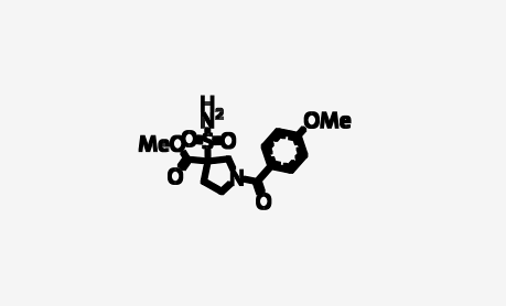 COC(=O)C1(S(N)(=O)=O)CCN(C(=O)c2ccc(OC)cc2)C1